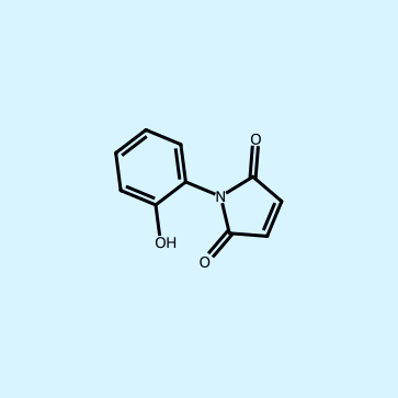 O=C1C=CC(=O)N1c1ccccc1O